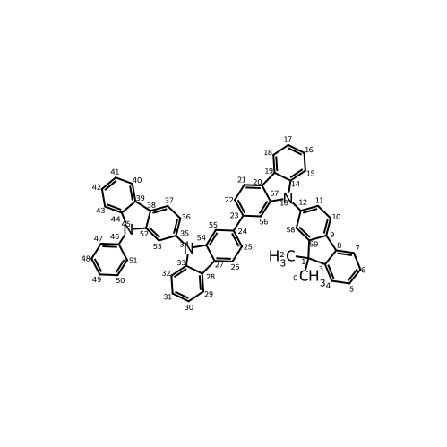 CC1(C)c2ccccc2-c2ccc(-n3c4ccccc4c4ccc(-c5ccc6c7ccccc7n(-c7ccc8c9ccccc9n(-c9ccccc9)c8c7)c6c5)cc43)cc21